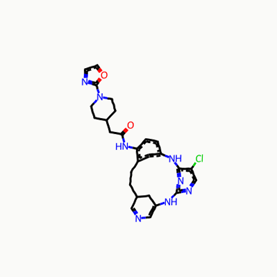 O=C(CC1CCN(c2ncco2)CC1)Nc1ccc2cc1CCC1C=NC=C(C1)Nc1ncc(Cl)c(n1)N2